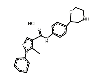 Cc1c(C(=O)Nc2ccc(C3CNCCO3)cc2)cnn1-c1ccccc1.Cl